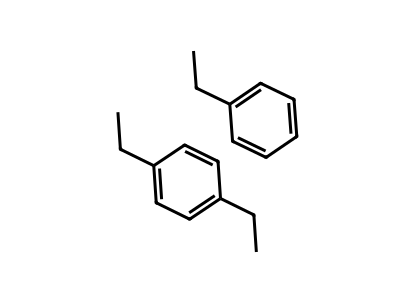 CCc1ccc(CC)cc1.CCc1ccccc1